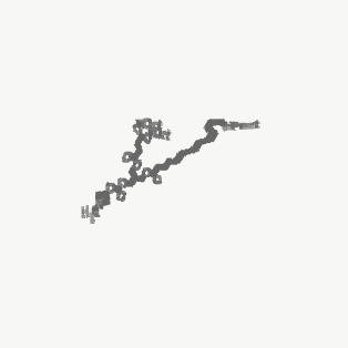 CCCCC/C=C\C/C=C\CCCCCCCC(=O)OCC(COC(=O)CCC(OCCCCCCCC)OCCCCCCCC)COC(=O)OC1CN(C)C1